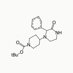 CC(C)(C)OC(=O)N1CCC(N2CCNC(=O)C2c2ccccc2)CC1